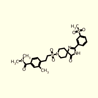 Cc1cc(C(=O)N(C)C)ccc1CCS(=O)(=O)N1CCC2(CC1)N=C(c1cccc(S(C)(=O)=O)c1)NC2=O